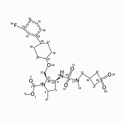 COC(=O)N1C(C)C[C@H](NS(=O)(=O)N(C)CC2CS(=O)(=O)C2)[C@@H]1COC1CCC(c2cccc(F)c2)CC1